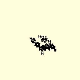 CCc1ccc2c(c1)C1(CC1c1ccc3c(-c4ccc(N5CCN(C)CC5)cc4)n[nH]c3c1)C(=O)N2.O=C(O)C(F)(F)F